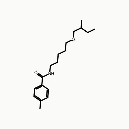 CCC(C)COCCCCCNC(=O)c1ccc(C)cc1